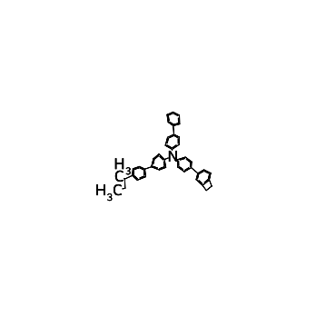 CCC(C)c1ccc(-c2ccc(N(c3ccc(-c4ccccc4)cc3)c3ccc(-c4ccc5c(c4)CC5)cc3)cc2)cc1